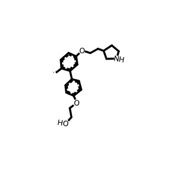 [CH2]c1ccc(OCCC2CCNC2)cc1-c1ccc(OCCO)cc1